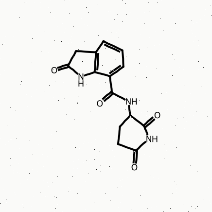 O=C1CCC(NC(=O)c2cccc3c2NC(=O)C3)C(=O)N1